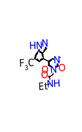 CCNC(=O)Cn1c(=O)c(-c2cc(C(F)(F)F)cc3[nH]ncc23)cn(C)c1=O